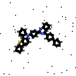 c1ccc(-c2ccc(-c3nc(-c4ccc(-n5c6ccccc6c6c7sc8ccccc8c7ccc65)cc4)nc4ccccc34)cc2)cc1